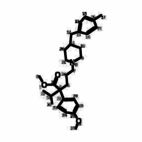 COC(=O)C(CCCN1CCC(Cc2ccc(C)cc2)CC1)(c1ccc(OC)cc1)C(C)C